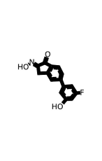 O=C1/C(=N/O)Cc2cc(-c3cc(O)cc(F)c3)ccc21